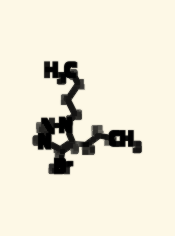 CCCCn1nnc(Br)c1CCC